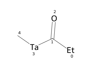 CC[C](=O)[Ta][CH3]